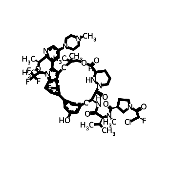 CO[C@@H](C)c1ncc(N2CCN(C)CC2)cc1-c1c2c3c(F)c(ccc3n1CC(F)(F)F)-c1cc(O)cc(c1)C[C@H](NC(=O)[C@H](C(C)C)N(C)C(=O)[C@H]1CCN(C(=O)[C@H](F)Cl)C1)C(=O)N1CCC[C@H](N1)C(=O)OCC(C)(C)C2